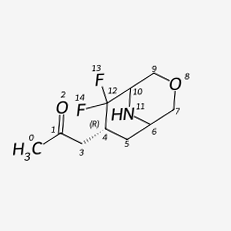 CC(=O)C[C@H]1CC2COCC(N2)C1(F)F